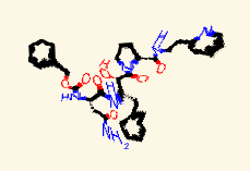 NC(=O)C[C@H](NC(=O)OCc1ccccc1)C(=O)N[C@@H](Cc1ccccc1)[C@H](O)C(=O)N1CCC[C@H]1C(=O)NCCc1ccccn1